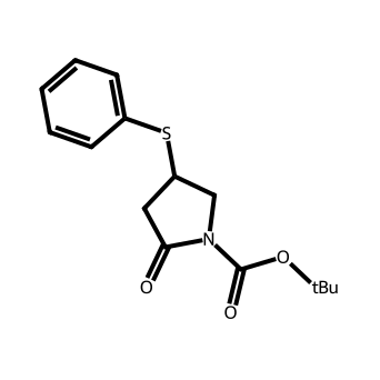 CC(C)(C)OC(=O)N1CC(Sc2ccccc2)CC1=O